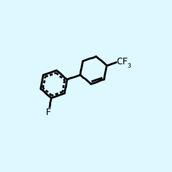 Fc1cccc(C2C=CC(C(F)(F)F)CC2)c1